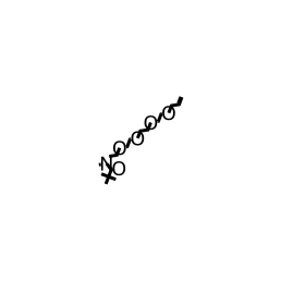 C=CCOCCOCCOCCOCCN(C)C(=O)C(C)(C)C